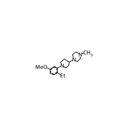 CCc1ccc(OC)cc1N1CCC(N2CCN(C)CC2)CC1